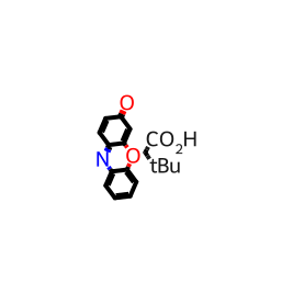 CC(C)(C)CC(=O)O.O=c1ccc2nc3ccccc3oc-2c1